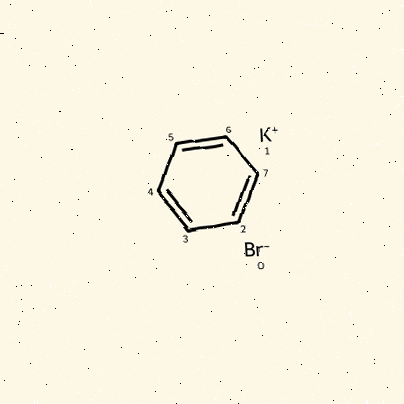 [Br-].[K+].c1ccccc1